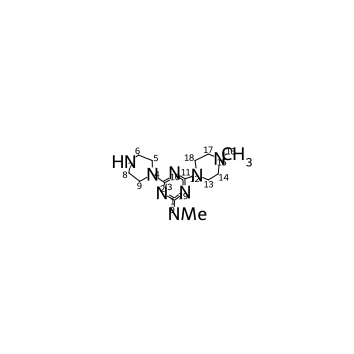 CNc1nc(N2CCNCC2)nc(N2CCN(C)CC2)n1